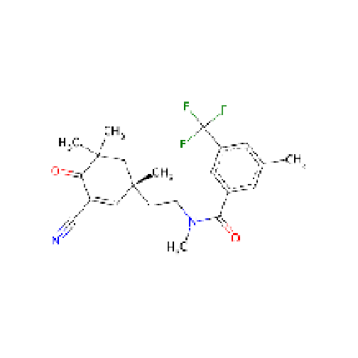 Cc1cc(C(=O)N(C)CC[C@]2(C)C=C(C#N)C(=O)C(C)(C)C2)cc(C(F)(F)F)c1